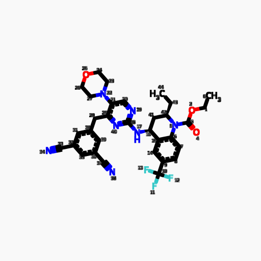 CCOC(=O)N1c2ccc(C(F)(F)F)cc2[C@@H](Nc2ncc(N3CCOCC3)c(Cc3cc(C#N)cc(C#N)c3)n2)C[C@H]1CC